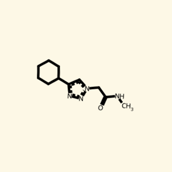 CNC(=O)Cn1cc(C2CCCCC2)nn1